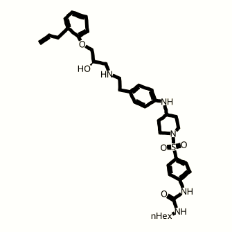 C=CCc1ccccc1OC[C@@H](O)CNCCc1ccc(NC2CCN(S(=O)(=O)c3ccc(NC(=O)NCCCCCC)cc3)CC2)cc1